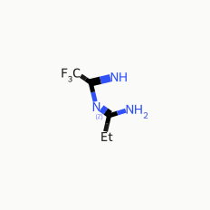 CC/C(N)=N/C(=N)C(F)(F)F